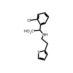 O=C(O)C(NCCc1cccs1)c1ccccc1Cl